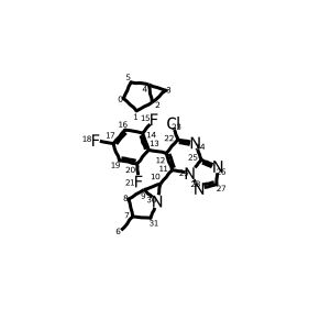 C1CC2CC2C1.CC1CC2C(c3c(-c4c(F)cc(F)cc4F)c(Cl)nc4ncnn34)N2C1